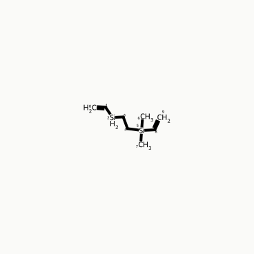 C=C[SiH2]CC[Si](C)(C)C=C